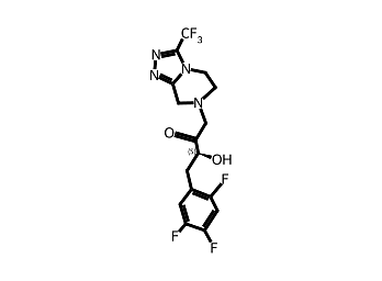 O=C(CN1CCn2c(nnc2C(F)(F)F)C1)[C@@H](O)Cc1cc(F)c(F)cc1F